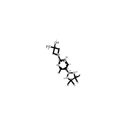 Cc1nc(N2CC(O)(C(F)(F)F)C2)ncc1B1OC(C)(C)C(C)(C)O1